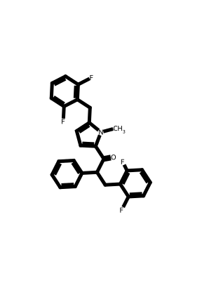 Cn1c(Cc2c(F)cccc2F)ccc1C(=O)C(Cc1c(F)cccc1F)c1ccccc1